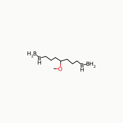 BBCCCC(CCCBB)OC